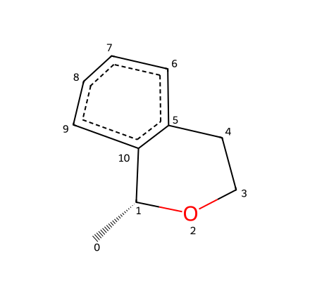 C[C@H]1OCCc2ccccc21